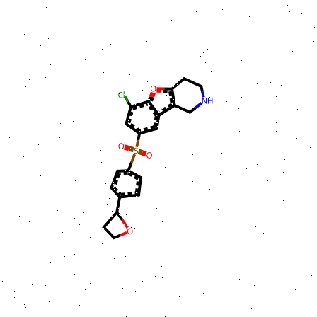 O=S(=O)(c1ccc(C2CCO2)cc1)c1cc(Cl)c2oc3c(c2c1)CNCC3